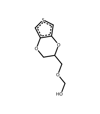 OCOCC1COc2cscc2O1